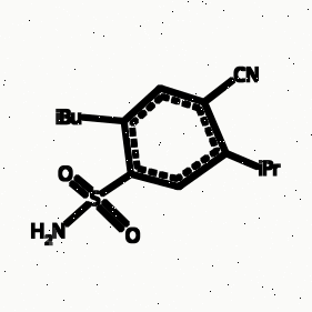 CCC(C)c1cc(C#N)c(C(C)C)cc1S(N)(=O)=O